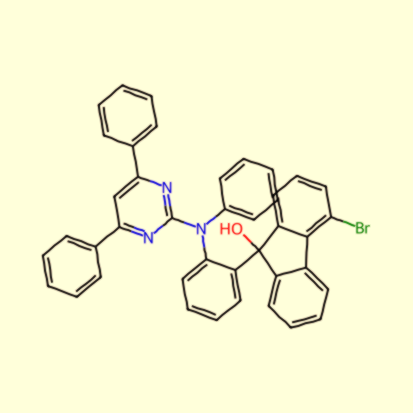 OC1(c2ccccc2N(c2ccccc2)c2nc(-c3ccccc3)cc(-c3ccccc3)n2)c2ccccc2-c2c(Br)cccc21